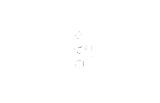 Cc1[nH]c(Cc2cccs2)nc1-c1cc(Cl)ccc1Cl